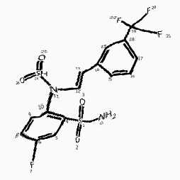 NS(=O)(=O)c1cc(F)ccc1N(C=Cc1cccc(C(F)(F)F)c1)[SH](=O)=O